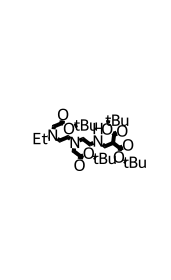 CCN(CCN(CCNCC(C(=O)OC(C)(C)C)C(=O)OC(C)(C)C)CC(=O)OC(C)(C)C)CC(=O)OC(C)(C)C